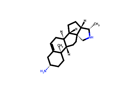 C[C@@H]1NC[C@]23CC[C@H]4[C@@H](CC=C5C[C@@H](N)CC[C@@]54C)[C@@H]2CC[C@H]13